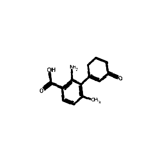 Cc1ccc(C(=O)O)c(N)c1C1=CC(=O)CCC1